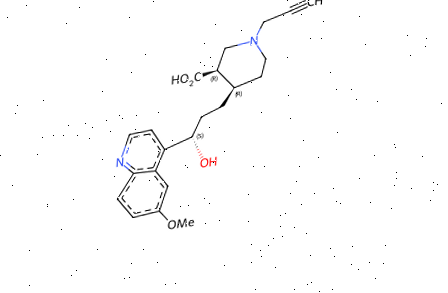 C#CCN1CC[C@@H](CC[C@H](O)c2ccnc3ccc(OC)cc23)[C@@H](C(=O)O)C1